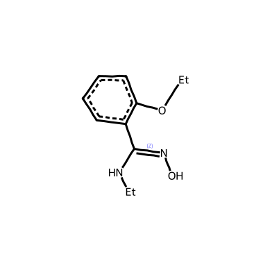 CCN/C(=N\O)c1ccccc1OCC